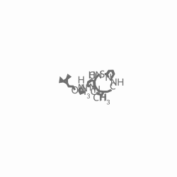 CC1(C)C[C@H]2CCCNc3cccc(n3)SNC(=O)c3ccc(N4C=CC(OCCC5C6(CC6)C56CC6)N4)nc3N1C2